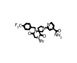 CC(C)N1CC(=O)N(Cc2ccc(C(F)(F)F)cc2)C2(CCN(c3cc(C(N)=O)ccn3)C2)C1=O